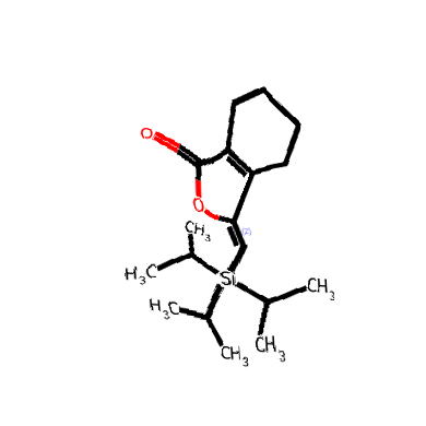 CC(C)[Si](/C=C1\OC(=O)C2=C1CCCC2)(C(C)C)C(C)C